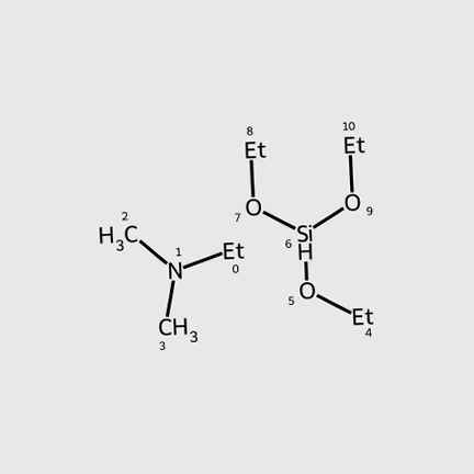 CCN(C)C.CCO[SiH](OCC)OCC